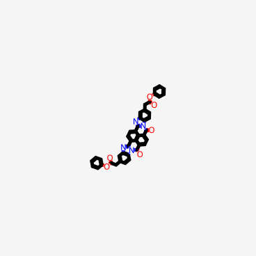 O=C(Cc1ccc2c(c1)nc1c3ccc4c5c(ccc(c(=O)n21)c35)c(=O)n1c2ccc(CC(=O)Oc3ccccc3)cc2nc41)Oc1ccccc1